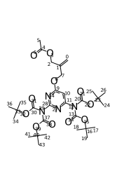 C=C(COC(C)=O)COc1cc(N(C(=O)OC(C)(C)C)C(=O)OC(C)(C)C)nc(N(C(=O)OC(C)(C)C)C(=O)OC(C)(C)C)n1